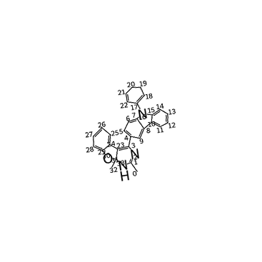 CC1=NC(c2ccc3c(c2)c2ccccc2n3C2=CCCC=C2)=C2c3ccccc3OC2(C)N1